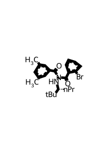 CCC[C@@H](NN(C(=O)c1cc(C)cc(C)c1)C(=O)c1ccccc1Br)C(C)(C)C